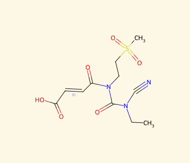 CCN(C#N)C(=O)N(CCS(C)(=O)=O)C(=O)/C=C/C(=O)O